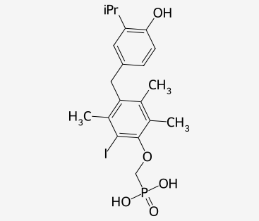 Cc1c(C)c(OCP(=O)(O)O)c(I)c(C)c1Cc1ccc(O)c(C(C)C)c1